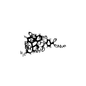 C=C(C)C[C@@H]1N[C@@H](C(=O)Nc2ccc(C(=O)OC)cc2OC)[C@H](c2cccc(Cl)c2F)[C@@]1(C#N)c1ccc(Cl)cc1F